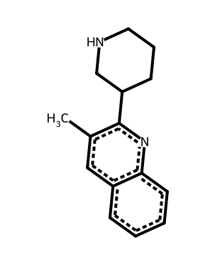 Cc1cc2ccccc2nc1C1CCCNC1